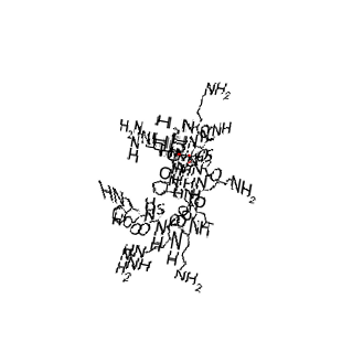 CC(C)C[C@H](NC(=O)[C@H](Cc1c[nH]c2ccccc12)NC(=O)[C@H](CCCCN)NC(=O)[C@H](CS)NC(=O)[C@H](CC(=O)O)NC(=O)[C@H](CCCNC(=N)N)NC(=O)[C@H](Cc1c[nH]cn1)NC(=O)[C@@H](N)CCCCN)C(=O)N[C@@H](CCCCN)C(=O)N[C@@H](CCCNC(=N)N)C(=O)N[C@@H](CS)C(=O)N[C@@H](Cc1c[nH]c2ccccc12)C(=O)O